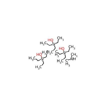 CC[Si](O)(CC)CC.CC[Si](O)(CC)CC.CC[Si](O)(CC)CC.[CH3][AlH][CH3]